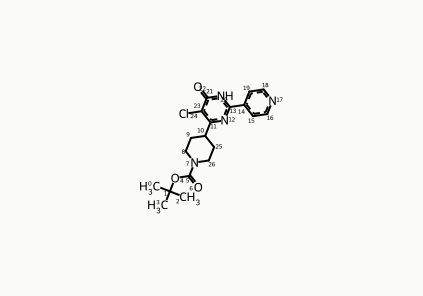 CC(C)(C)OC(=O)N1CCC(c2nc(-c3ccncc3)[nH]c(=O)c2Cl)CC1